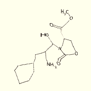 COC(=O)[C@@H]1COC(=O)N1C(O)C(N)CC1CCCCC1